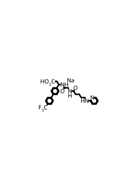 O=C(O)CC(NC(=O)CNC(=O)CCCCNc1ccccn1)c1ccc(-c2ccc(C(F)(F)F)cc2)cc1.[Na]